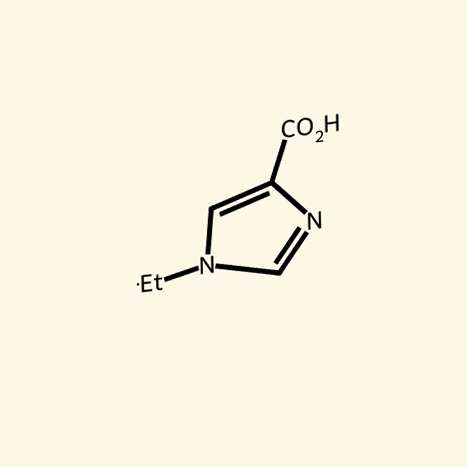 C[CH]n1cnc(C(=O)O)c1